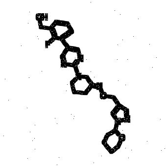 OCc1cccc(-c2cnc(N3CCCC(=NOCc4cnn(C5CCCCO5)c4)C3)nc2)c1F